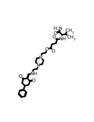 CC(C)[C@H](NC(=O)CCC(=O)OCCN1CCN(CCNC=C2C(=O)CC(c3ccccc3)CC2=O)CC1)C(N)=O